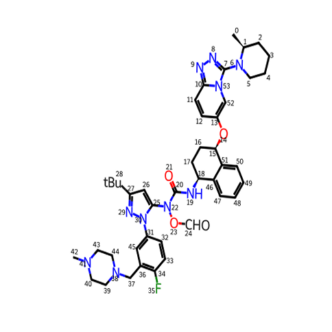 C[C@H]1CCCCN1c1nnc2ccc(O[C@@H]3CC[C@H](NC(=O)N(OC=O)c4cc(C(C)(C)C)nn4-c4ccc(F)c(CN5CCN(C)CC5)c4)c4ccccc43)cn12